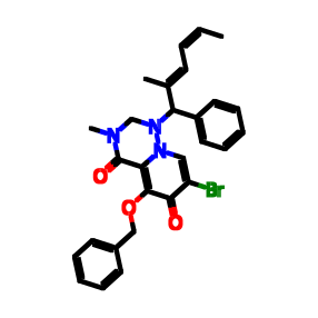 C/C=C\C=C(/C)C(c1ccccc1)N1CN(C)C(=O)c2c(OCc3ccccc3)c(=O)c(Br)cn21